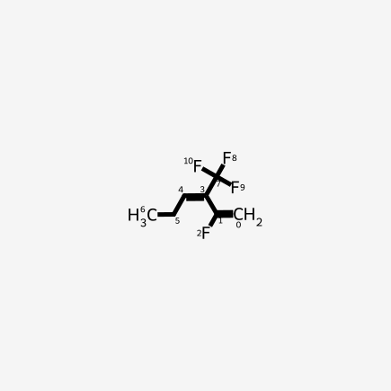 C=C(F)/C(=C\CC)C(F)(F)F